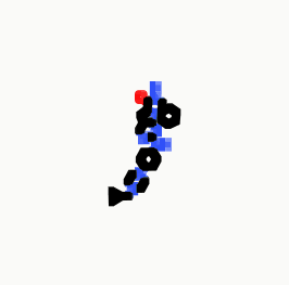 O=C1NCC2(CCCCC2)n2c1cc1cnc(NC3CCC(N4CCN(CC5CC5)CC4)CC3)nc12